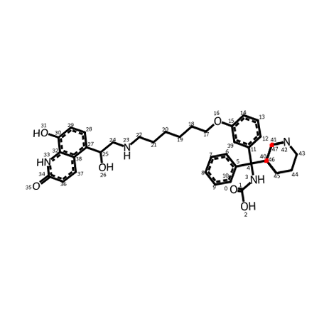 O=C(O)NC(c1ccccc1)(c1cccc(OCCCCCCNCC(O)c2ccc(O)c3[nH]c(=O)ccc23)c1)C1CN2CCC1CC2